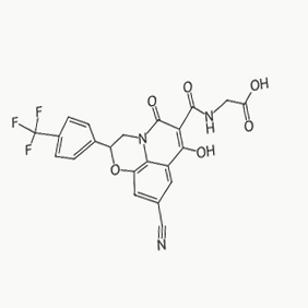 N#Cc1cc2c3c(c1)c(O)c(C(=O)NCC(=O)O)c(=O)n3CC(c1ccc(C(F)(F)F)cc1)O2